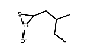 CCC(C)CC1S[S+]1[O-]